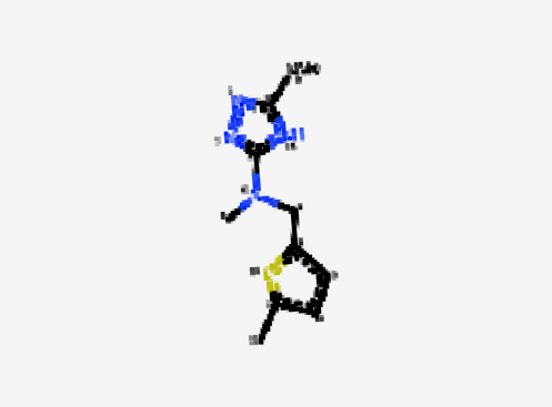 CNc1nnc(N(C)Cc2ccc(C)s2)[nH]1